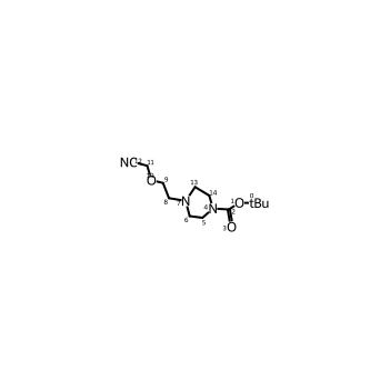 CC(C)(C)OC(=O)N1CCN(CCOCC#N)CC1